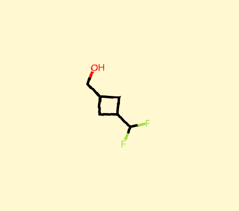 OCC1CC(C(F)F)C1